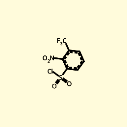 O=[N+]([O-])c1c(C(F)(F)F)cccc1S(=O)(=O)Cl